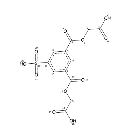 O=C(O)COC(=O)c1cc(C(=O)OCC(=O)O)cc(S(=O)(=O)O)c1